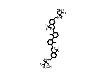 Cc1c(/C=C/c2cc(CNC(C)(CO)C(=O)O)ccc2C(F)(F)F)cccc1-c1cccc(/C=C/c2cc(CNC(C)(CO)C(=O)O)ccc2C(F)(F)F)c1C